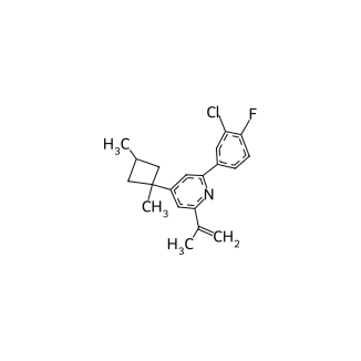 C=C(C)c1cc(C2(C)CC(C)C2)cc(-c2ccc(F)c(Cl)c2)n1